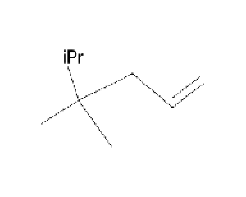 C=CCC(C)(C)C(C)C